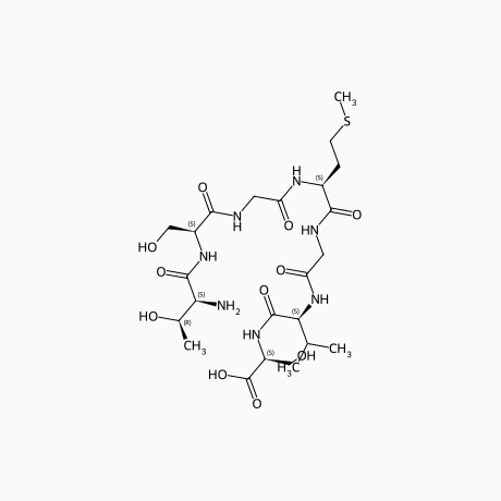 CSCC[C@H](NC(=O)CNC(=O)[C@H](CO)NC(=O)[C@@H](N)[C@@H](C)O)C(=O)NCC(=O)N[C@H](C(=O)N[C@@H](CO)C(=O)O)C(C)C